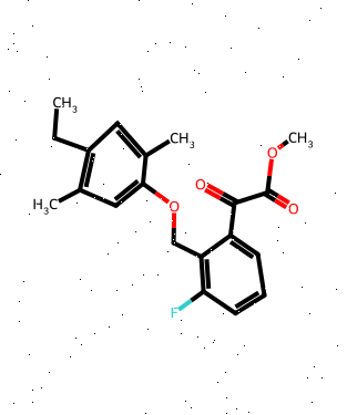 CCc1cc(C)c(OCc2c(F)cccc2C(=O)C(=O)OC)cc1C